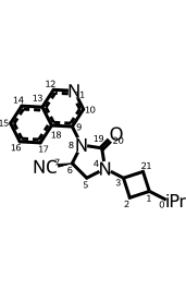 CC(C)C1CC(N2C[C@@H](C#N)N(c3cncc4ccccc34)C2=O)C1